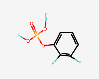 O=P(OF)(OF)Oc1cccc(F)c1F